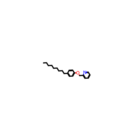 CCCCCCCCCc1ccc(OCc2ccccn2)cc1